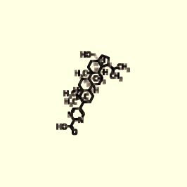 C=C(C)[C@@H]1CC[C@]2(CO)CC[C@]3(C)[C@H](CC[C@@H]4[C@@]5(C)CC=C(c6cnc(C(=O)O)nc6)C(C)(C)[C@@H]5CC[C@]43C)[C@@H]12